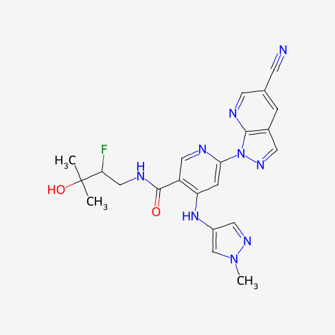 Cn1cc(Nc2cc(-n3ncc4cc(C#N)cnc43)ncc2C(=O)NCC(F)C(C)(C)O)cn1